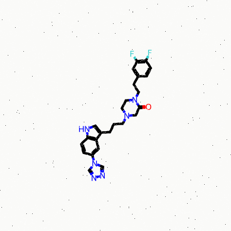 O=C1CN(CCCc2c[nH]c3ccc(-n4cnnc4)cc23)CCN1CCc1ccc(F)c(F)c1